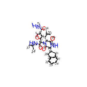 CNC(=O)c1coc([C@H](C(=O)NC(C)C)N2C(=O)[C@@H](C3Cc4ccccc4C3)NC(=O)[C@H]2CC(C)C)c1